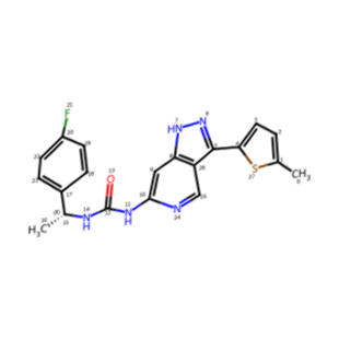 Cc1ccc(-c2n[nH]c3cc(NC(=O)N[C@H](C)c4ccc(F)cc4)ncc23)s1